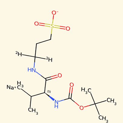 [2H]C([2H])(CCS(=O)(=O)[O-])NC(=O)[C@@H](NC(=O)OC(C)(C)C)C(C)C.[Na+]